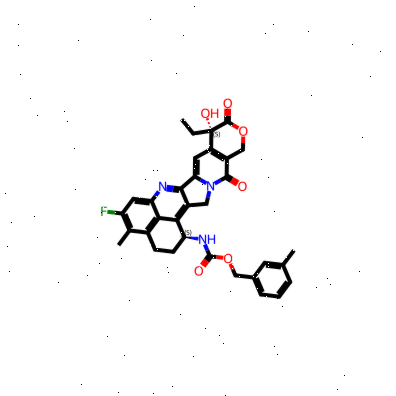 CC[C@@]1(O)C(=O)OCc2c1cc1n(c2=O)Cc2c-1nc1cc(F)c(C)c3c1c2[C@@H](NC(=O)OCc1cccc(C)c1)CC3